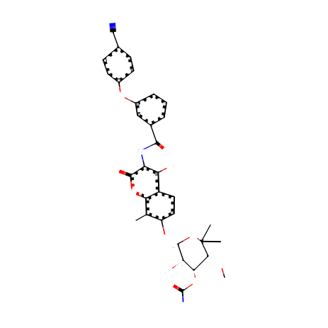 CO[C@@H]1[C@@H](OC(N)=O)[C@@H](O)[C@H](Oc2ccc3c(O)c(NC(=O)c4cccc(Oc5ccc(C#N)cc5)c4)c(=O)oc3c2C)OC1(C)C